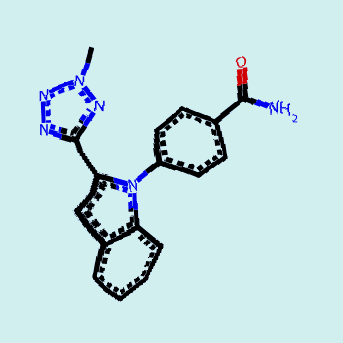 Cn1nnc(-c2cc3ccccc3n2-c2ccc(C(N)=O)cc2)n1